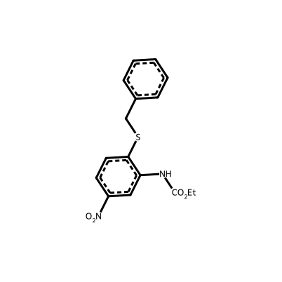 CCOC(=O)Nc1cc([N+](=O)[O-])ccc1SCc1ccccc1